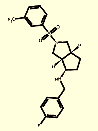 O=S(=O)(c1cccc(C(F)(F)F)c1)N1C[C@@H]2CC[C@@H](NCc3ccc(F)cc3)[C@@H]2C1